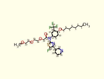 CCCCCCCCOc1ccc(N(C(=O)COCCOCCOC)c2nc(-c3cccnc3)c(F)s2)cc1C(F)(F)F